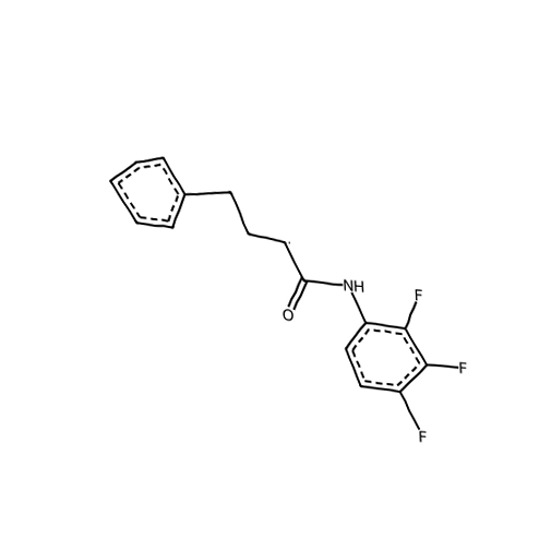 O=C([CH]CCc1ccccc1)Nc1ccc(F)c(F)c1F